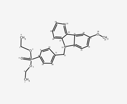 CCOP(=O)(OCC)c1ccc(Cn2c3ccc(OC)cc3c3ncccc32)cc1